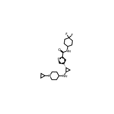 O=C(NC1CCC(F)(F)CC1)c1cc([C@@H]2C[C@H]2NC2CCN(C3CC3)CC2)cs1